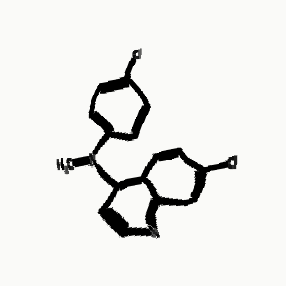 CN(c1ccc(Cl)cc1)c1ccnc2cc(Cl)ccc12